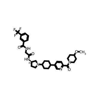 COC1CCN(C(=O)c2ccc(C3CCC(N4CC[C@@H](NC(=O)CNC(=O)c5cccc(C(F)(F)F)c5)C4)CC3)cn2)CC1